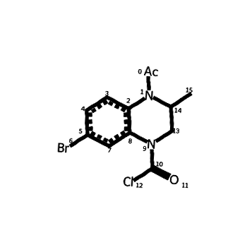 CC(=O)N1c2ccc(Br)cc2N(C(=O)Cl)CC1C